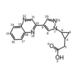 O=C(O)CC1CC1n1cc(-c2cnc3ccccc3n2)cn1